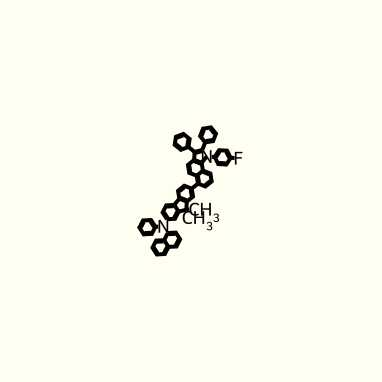 CC1(C)c2cc(-c3cccc4c3ccc3c(-c5ccccc5)c(-c5ccccc5)n(-c5ccc(F)cc5)c34)ccc2-c2ccc(N(c3ccccc3)c3cccc4ccccc34)cc21